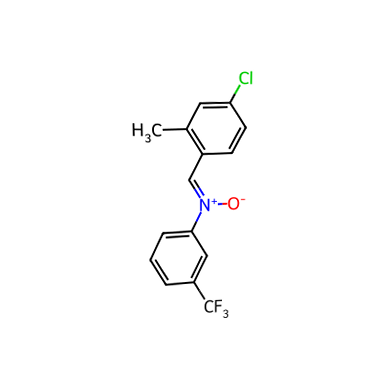 Cc1cc(Cl)ccc1C=[N+]([O-])c1cccc(C(F)(F)F)c1